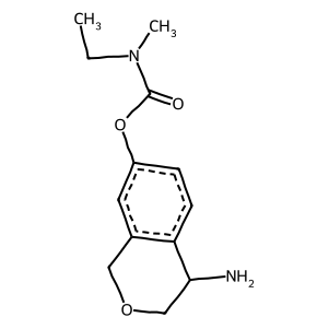 CCN(C)C(=O)Oc1ccc2c(c1)COCC2N